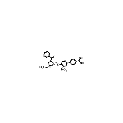 N=C(N)c1ccc(-c2ccc(OC[C@@H]3C[C@@H](CC(=O)O)CN3C(=O)c3cccnc3)c([N+](=O)[O-])c2)cc1